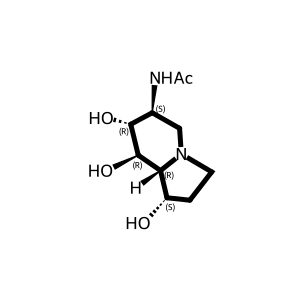 CC(=O)N[C@H]1CN2CC[C@H](O)[C@@H]2[C@@H](O)[C@@H]1O